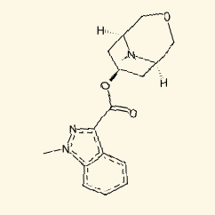 CN1[C@@H]2COC[C@H]1C[C@@H](OC(=O)c1nn(C)c3ccccc13)C2